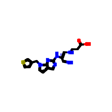 N=C/C(=C\NCCC(=O)O)Nc1ncc2ccn(Cc3ccsc3)c2n1